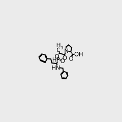 C[C@H](O[PH](=O)C(CCc1ccccc1)NCc1ccccc1)C(=O)N1CCC[C@H]1C(=O)O